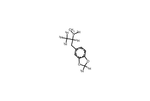 [2H]N(C)C([2H])(Cc1ccc2c(c1)OC([2H])([2H])O2)C([2H])([2H])[2H]